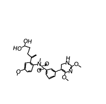 C=C(CCC(O)O)c1cc(OC)ccc1N(C)S(=O)(=O)c1cccc(C2=C(OC)N=C(OC)NC2)c1